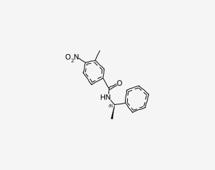 Cc1cc(C(=O)N[C@H](C)c2ccccc2)ccc1[N+](=O)[O-]